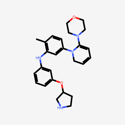 Cc1ccc(N2CC=CC=C2N2CCOCC2)cc1Nc1cccc(OC2CCNC2)c1